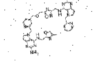 Cc1coc(CNc2nc(N)nc3ccn(Cc4cc(COCc5nc(CNc6nc(N)nc7ccn(Cc8ccccn8)c67)no5)ccn4)c23)n1